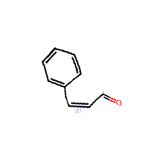 O=[C]/C=C\c1ccccc1